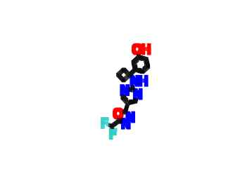 Oc1cccc(C2(Nc3ncc(-c4nnc(C(F)F)o4)cn3)CCC2)c1